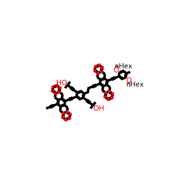 CC#Cc1c2c(c(C#Cc3cc(C#CC(C)(C)O)c(CCC#Cc4c5c(c(C#Cc6cc(OCCCCCC)c(C)cc6OCCCCCC)c6c4C4c7ccccc7C6c6ccccc64)C4c6ccccc6C5c5ccccc54)cc3C#CC(C)(C)O)c3c1C1c4ccccc4C3c3ccccc31)C1c3ccccc3C2c2ccccc21